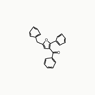 O=C(c1ccccc1)c1[c]c(Cc2ccccc2)oc1-c1ccccc1